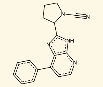 N#CN1CCCC1c1nc2c(-c3ccccc3)ccnc2[nH]1